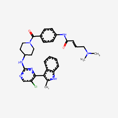 Cc1[nH]c2ccccc2c1-c1nc(NC2CCN(C(=O)c3ccc(NC(=O)C=CCN(C)C)cc3)CC2)ncc1Cl